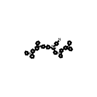 N#Cc1ccc(-c2nc(-c3ccc(-c4ccc(-n5c6ccccc6c6cc(-c7ccc8c(c7)c7ccccc7n8-c7ccccc7)ccc65)cc4)cc3)cc(-c3cccc(-n4c5ccccc5c5cc(-c6ccc7c(c6)c6ccccc6n7-c6ccccc6)ccc54)c3)n2)cc1